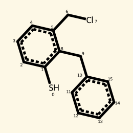 Sc1cccc(CCl)c1Cc1ccccc1